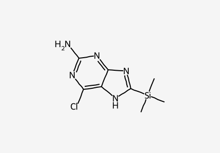 C[Si](C)(C)c1nc2nc(N)nc(Cl)c2[nH]1